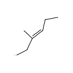 [CH2]C/C(C)=C/CC